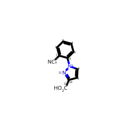 N#Cc1ccccc1-n1ccc(C(=O)O)n1